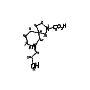 O=C(O)N1CCC2(CCCN(CCO)C2)C1